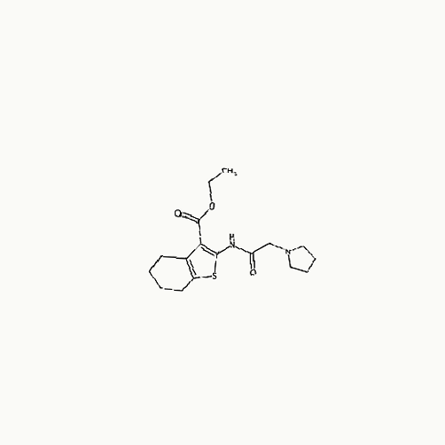 CCOC(=O)c1c(NC(=O)CN2CCCC2)sc2c1CCCC2